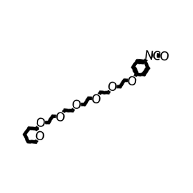 O=C=Nc1ccc(OCCOCCOCCOCCOCCOC2CCCCO2)cc1